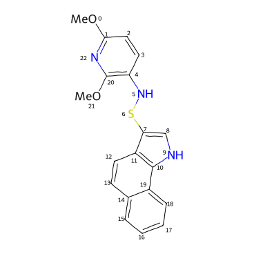 COc1ccc(NSc2c[nH]c3c2ccc2ccccc23)c(OC)n1